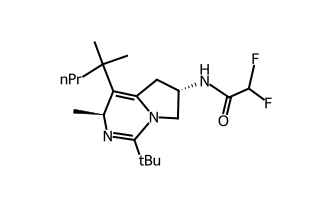 CCCC(C)(C)C1=C2C[C@H](NC(=O)C(F)F)CN2C(C(C)(C)C)=N[C@H]1C